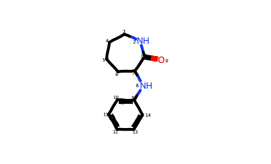 O=C1NCCCCC1Nc1ccccc1